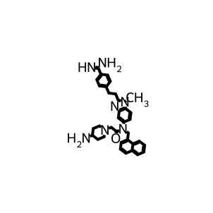 Cn1c(CCc2ccc(C(=N)N)cc2)nc2cc(N(Cc3cccc4ccccc34)C(=O)CN3CCC(N)CC3)ccc21